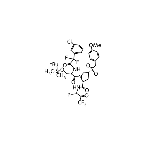 COc1ccc(CS(=O)(=O)[C@@H]2C[C@@H](C(=O)N[C@H](C(=O)C(F)(F)F)C(C)C)N(C(=O)[C@H](CO[Si](C)(C)C(C)(C)C)NC(=O)C(F)(F)c3cccc(Cl)c3)C2)cc1